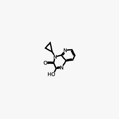 O=c1c(O)nc2cccnc2n1C1CC1